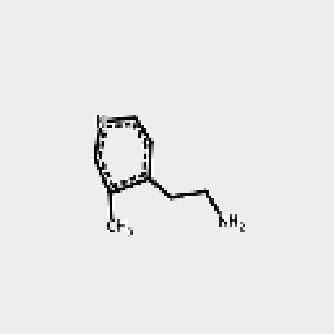 Cc1cnccc1CCN